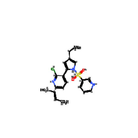 CNCc1cc(-c2cccnc2Cl)n(S(=O)(=O)c2cccnc2)c1.O=C(O)/C=C/C(=O)O